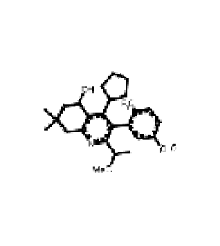 COC(C)c1nc2c(c(C3CCCC3)c1-c1cc(C=O)ccc1C(F)(F)F)C(O)CC(C)(C)C2